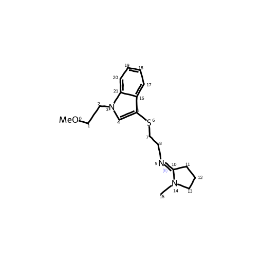 COCCn1cc(SCC/N=C2\CCCN2C)c2ccccc21